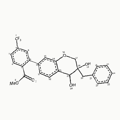 COC(=O)c1ccc(C(F)(F)F)cc1-c1ccc2c(c1)OCC(O)(Cc1ccccc1)C2O